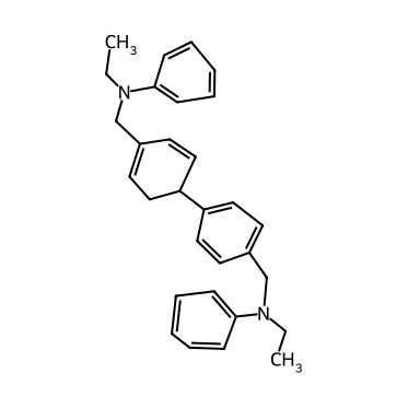 CCN(CC1=CCC(c2ccc(CN(CC)c3ccccc3)cc2)C=C1)c1ccccc1